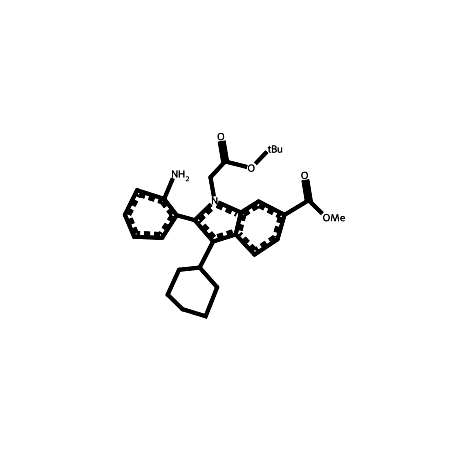 COC(=O)c1ccc2c(C3CCCCC3)c(-c3ccccc3N)n(CC(=O)OC(C)(C)C)c2c1